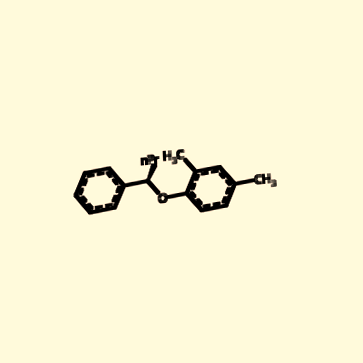 CCC[C@@H](Oc1ccc(C)cc1C)c1ccccc1